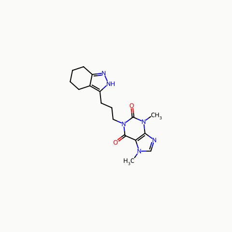 Cn1cnc2c1c(=O)n(CCCc1[nH]nc3c1CCCC3)c(=O)n2C